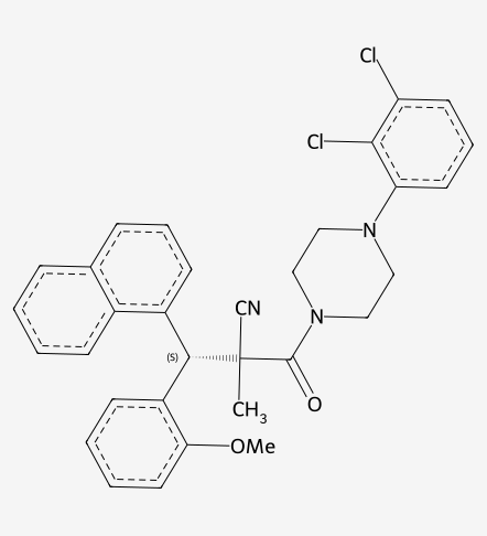 COc1ccccc1[C@H](c1cccc2ccccc12)C(C)(C#N)C(=O)N1CCN(c2cccc(Cl)c2Cl)CC1